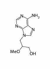 COC(CO)Cn1cnc2c(N)ncnc21